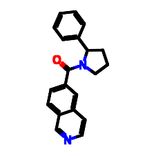 O=C(c1ccc2cnccc2c1)N1CCCC1c1ccccc1